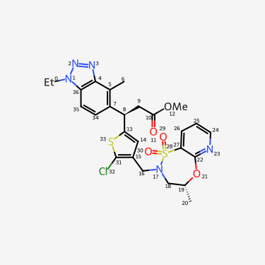 CCn1nnc2c(C)c([C@@H](CC(=O)OC)c3cc(CN4C[C@@H](C)Oc5ncccc5S4(=O)=O)c(Cl)s3)ccc21